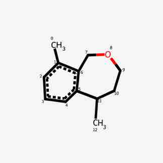 Cc1cccc2c1COCCC2C